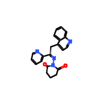 O=C1CCCC(=O)N1N=C(Cc1ccnc2ccccc12)c1ccccn1